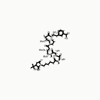 CCCCCC(C)(C)C1CC(=O)N(CCCCCC(=O)N(C)[C@H](C(=O)N[C@H](C(=O)N(C)[C@@H]([C@@H](C)CC)[C@@H](CC(=O)N2CCC[C@H]2[C@H](OC)[C@@H](C)C(=O)N[C@@H](Cc2cccc(C(CC)CC)c2)C(=O)O)OC)C(C)C)C(C)C)C1=O